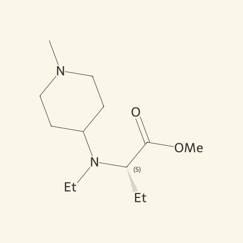 CC[C@@H](C(=O)OC)N(CC)C1CCN(C)CC1